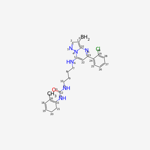 Bc1cnn2c(NCCCCNC(=O)NC3=C(C)C=CCC3)cc(-c3ccccc3Cl)nc12